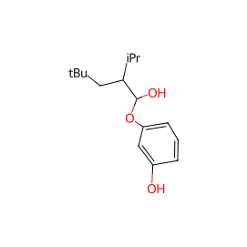 CC(C)C(CC(C)(C)C)C(O)Oc1cccc(O)c1